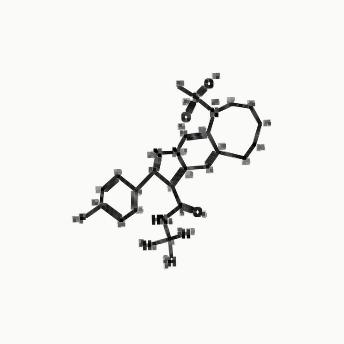 [2H]C([2H])([2H])NC(=O)c1c(-c2ccc(F)cc2)nn2cc3c(cc12)CCCCCN3S(C)(=O)=O